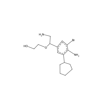 NCC(OCCO)c1cc(Br)c(N)c(C2CCCCC2)c1